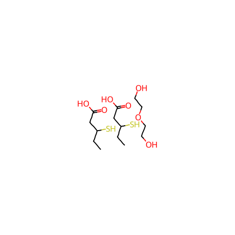 CCC(S)CC(=O)O.CCC(S)CC(=O)O.OCCOCCO